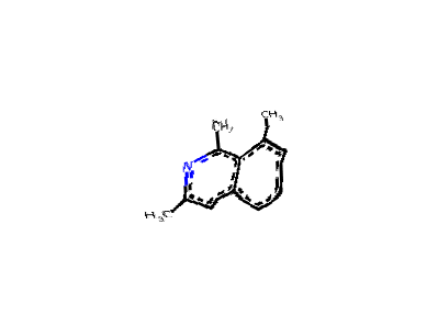 Cc1cc2cccc(C)c2c(C)n1